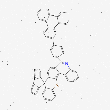 c1ccc2c(c1)Sc1c(ccc3c(-c4ccc(-c5ccc6c7ccccc7c7ccccc7c6c5)cc4)nc4ccccc4c13)C21c2ccccc2-c2ccccc21